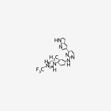 Cc1cc(Nc2nccc(-c3cnc4[nH]ccc4c3)n2)ccc1N1C[C@@H]2C[C@H]1CN2CC(F)(F)F